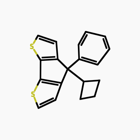 c1ccc(C2(C3CCC3)c3ccsc3-c3sccc32)cc1